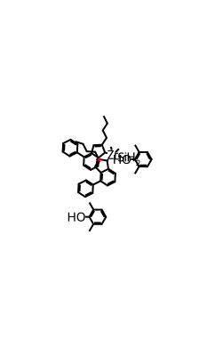 CCCCC1=Cc2c(-c3ccccc3)cccc2[CH]1[Zr]([CH3])([CH3])(=[SiH2])[CH]1C(CCCC)=Cc2c(-c3ccccc3)cccc21.Cc1cccc(C)c1O.Cc1cccc(C)c1O